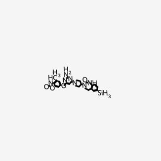 Cc1cc(Oc2cc(N3CCC(N4CCc5cc([SiH3])ccc5NC4=O)CC3)nc(N)n2)cc2oc(=O)[nH]c12